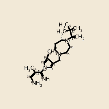 C=C(N1CCCN(Cc2cn(C(=N)/C(C)=C\N)cc2C)CC1)C(C)(C)C